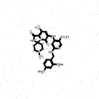 CCOC(=O)c1cnc(NCc2ccc(OC)cc2OC)cc1Nc1cc(C)c2n(c1=O)C1(CCN(C)CC1)NC2=O